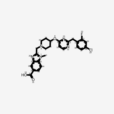 Cn1c(CN2CCC(Oc3ccnc(Cc4ccc(Cl)cc4F)n3)CC2)nc2cc(C(=O)O)ccc21